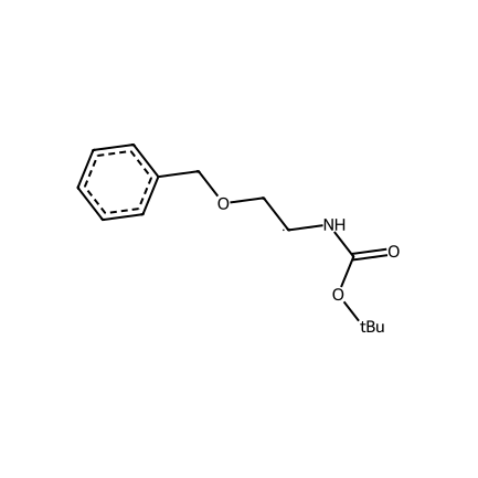 CC(C)(C)OC(=O)N[CH]COCc1ccccc1